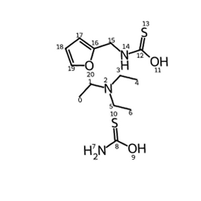 CCN(CC)CC.NC(O)=S.OC(=S)NCc1ccco1